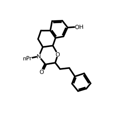 CCCN1C(=O)C(CCc2ccccc2)OC2c3cc(O)ccc3CCC21